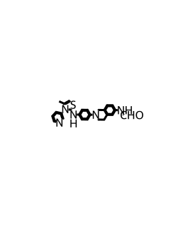 CC1=CSC(Nc2ccc(N3CCc4cc(NC=O)ccc4C3)cc2)N1c1cccnc1